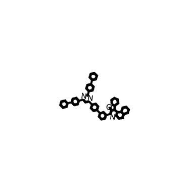 c1ccc(-c2ccc(-c3cc(-c4ccc(-c5cccc(-c6nc7ccc8ccccc8c7c7c6oc6ccccc67)c5)cc4)nc(-c4ccc(-c5ccccc5)cc4)n3)cc2)cc1